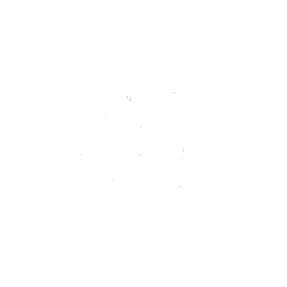 N#Cc1ccccc1-c1cc(-c2cccc3oc4ccccc4c23)cc(-c2cccc3sc4ccccc4c23)c1